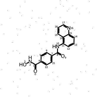 O=C(NO)c1ccc(C(=O)Nc2cccc3ncccc23)cc1